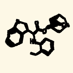 CCc1ccccc1NC(C(=O)OC1CN2CCC1CC2)c1csc2ccccc12